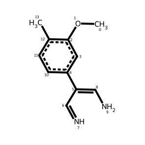 COc1cc(/C(C=N)=C/N)ccc1C